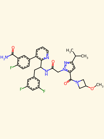 COC1CN(C(=O)c2cc(C(C)C)nn2CC(=O)NC(Cc2cc(F)cc(F)c2)c2ncccc2-c2ccc(F)c(C(N)=O)c2)C1